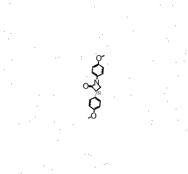 COc1ccc([C@H]2CN(c3ccc(OC)cc3)C2=O)cc1